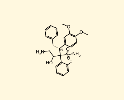 COc1ccc([C@@H](Cc2ccccc2)C(c2ccccc2F)(C(O)CN)S(N)(=O)=O)cc1OC